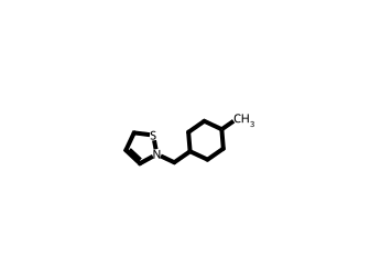 CC1CCC(CN2C=CCS2)CC1